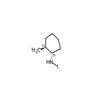 C[C@H]1CCCC[C@@H]1NI